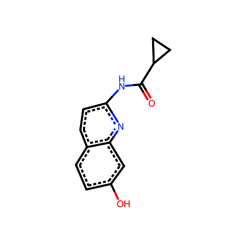 O=C(Nc1ccc2ccc(O)cc2n1)C1CC1